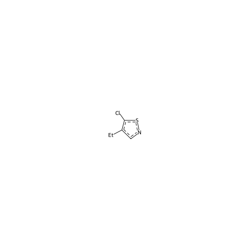 CCc1cnsc1Cl